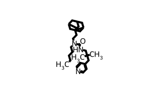 CCCCCN(CCC12CC3CC(CC(C3)C1)C2)C(=O)NCC(C)(C)Cc1ccncc1